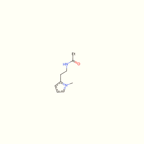 CCC(=O)NCCc1cccn1C